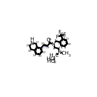 CN(C)CCN(Cc1ccccc1C(F)(F)F)C(=O)/C=C/c1cccc2c1CNCC2.Cl.Cl